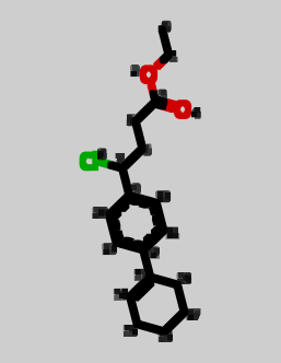 CCOC(=O)CCC(Cl)c1ccc(C2=CCCCC2)cc1